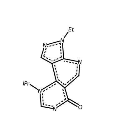 CCn1ncc2c3c(cnc21)c(=O)ncn3C(C)C